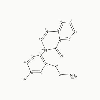 C=C1c2ccccc2N=CN1c1ccc(C)cc1CCN